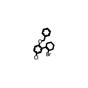 Clc1ccc(OCc2ccccc2)c(C2=C(Br)CCCC2)c1